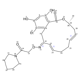 CCc1c(O)cc(O)c2c1CC(=N\OCC(=O)N1CCCCC1)/C=C/CC/C=C/C[C@@H](C)OC2=O